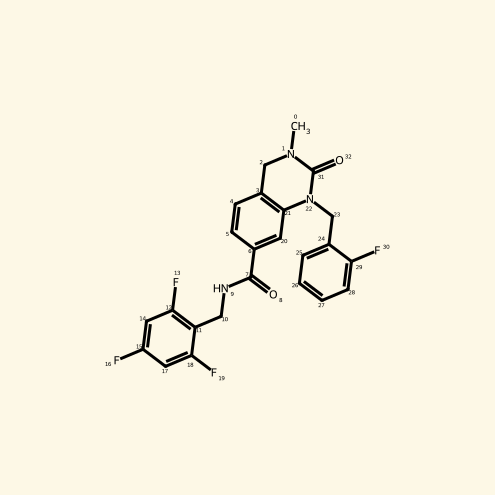 CN1Cc2ccc(C(=O)NCc3c(F)cc(F)cc3F)cc2N(Cc2ccccc2F)C1=O